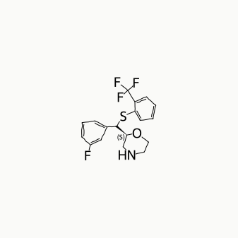 Fc1cccc(C(Sc2ccccc2C(F)(F)F)[C@@H]2CNCCO2)c1